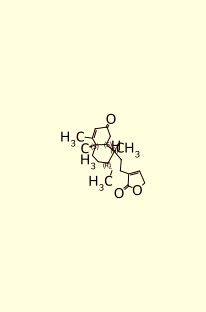 CC[C@@H]1CC[C@]2(C)C(C)=CC(=O)C[C@H]2[C@]1(C)CCC1=CCOC1=O